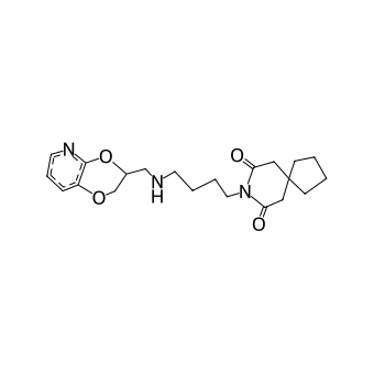 O=C1CC2(CCCC2)CC(=O)N1CCCCNCC1COc2cccnc2O1